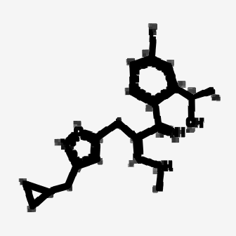 CN/N=C(/Cc1cc(CC2CC2)no1)C(=N)c1ccc(F)cc1[C@@H](C)O